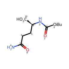 CC(C)COC(=O)N[C@@H](CCC(N)=O)C(=O)O